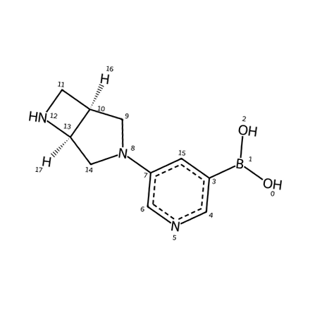 OB(O)c1cncc(N2C[C@@H]3CN[C@@H]3C2)c1